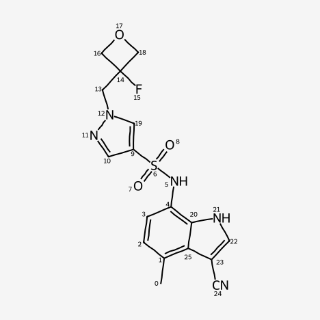 Cc1ccc(NS(=O)(=O)c2cnn(CC3(F)COC3)c2)c2[nH]cc(C#N)c12